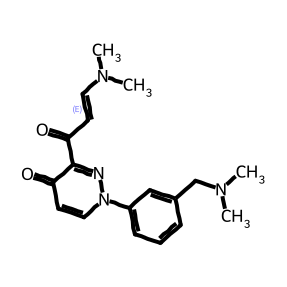 CN(C)/C=C/C(=O)c1nn(-c2cccc(CN(C)C)c2)ccc1=O